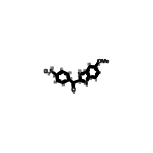 COc1ccc2nc(C(=O)c3ccc([N+](=O)[O-])cc3)sc2c1